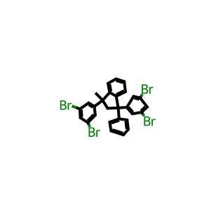 CC1(c2cc(Br)cc(Br)c2)CC(c2ccccc2)(c2cc(Br)cc(Br)c2)c2ccccc21